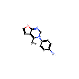 CNC1=c2ccoc2=NCN1c1ccc(N)cc1